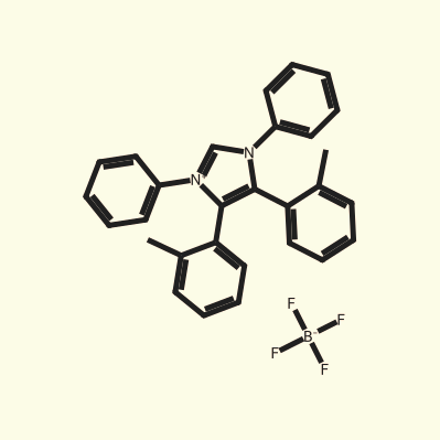 Cc1ccccc1-c1c(-c2ccccc2C)[n+](-c2ccccc2)cn1-c1ccccc1.F[B-](F)(F)F